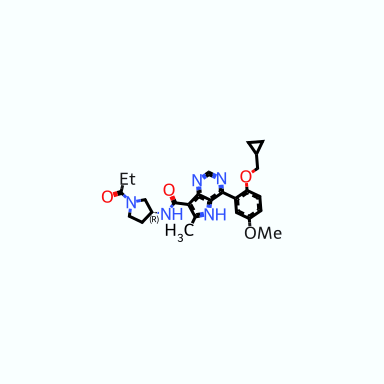 CCC(=O)N1CC[C@@H](NC(=O)c2c(C)[nH]c3c(-c4cc(OC)ccc4OCC4CC4)ncnc23)C1